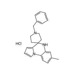 Cc1ccc2c(c1)NC1(CCN(Cc3ccccc3)CC1)c1cccn1-2.Cl